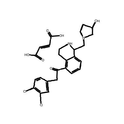 O=C(Cc1ccc(Cl)c(Cl)c1)c1cccc2c1CCNC2CN1CCC(O)C1.O=C(O)/C=C/C(=O)O